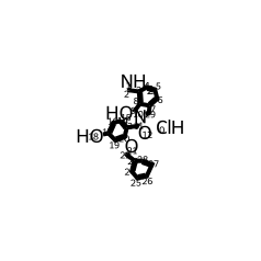 Cl.NCc1cccc2c1CN(C(=O)c1c(O)cc(O)cc1OCc1ccccc1)C2